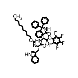 CCCCCCCCCO/C=N/[C@@H](Cc1c[nH]c2ccccc12)C(=O)N[C@H](CC(=O)NC(c1ccccc1)(c1ccccc1)c1ccccc1)C(=O)Oc1c(F)c(F)c(F)c(F)c1F